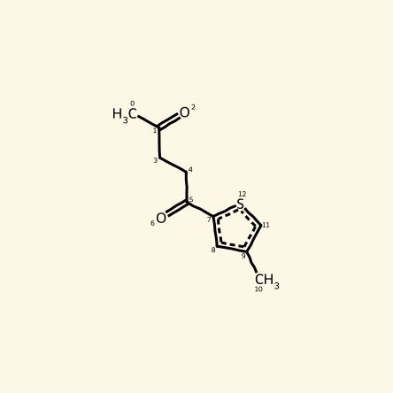 CC(=O)CCC(=O)c1cc(C)cs1